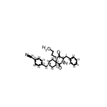 CCCN1C(=O)C(Cc2ccccc2)NC(=O)C12CCN(Cc1ccc(C#N)cc1)CC2